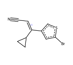 N#C/C=C(/c1csc(Br)c1)C1CC1